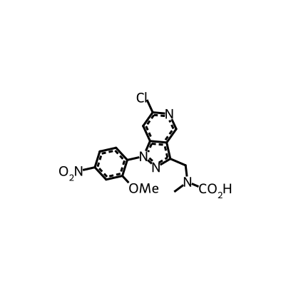 COc1cc([N+](=O)[O-])ccc1-n1nc(CN(C)C(=O)O)c2cnc(Cl)cc21